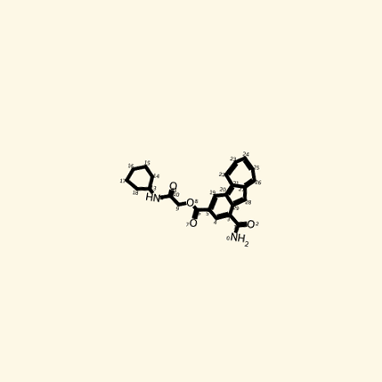 NC(=O)c1cc(C(=O)OCC(=O)NC2CCCCC2)cc2c3cccccc-3cc12